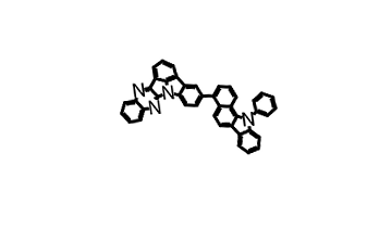 c1ccc(-n2c3ccccc3c3ccc4c(-c5ccc6c(c5)c5cccc7c8nc9ccccc9nc8n6c57)cccc4c32)cc1